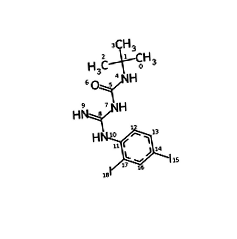 CC(C)(C)NC(=O)NC(=N)Nc1ccc(I)cc1I